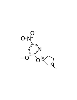 COc1cc([N+](=O)[O-])cnc1O[C@@H]1CCN(C)C1